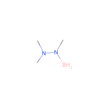 BN(C)N(C)C